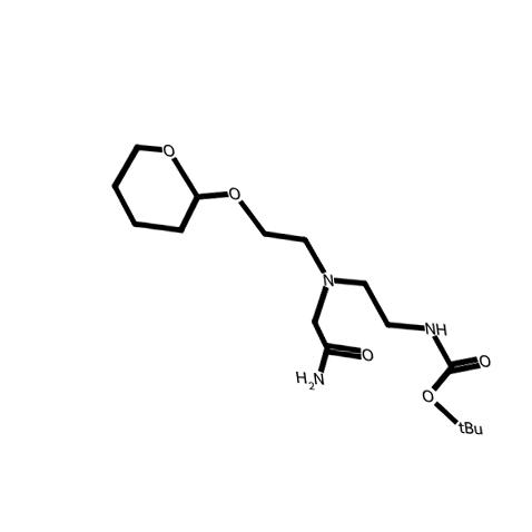 CC(C)(C)OC(=O)NCCN(CCOC1CCCCO1)CC(N)=O